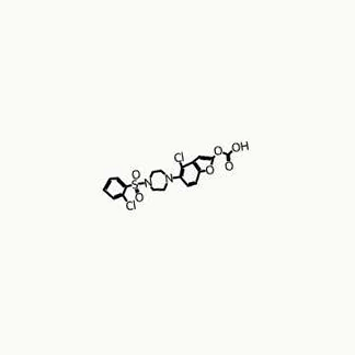 O=C(O)Oc1cc2c(Cl)c(N3CCN(S(=O)(=O)c4ccccc4Cl)CC3)ccc2o1